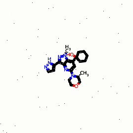 C[C@@H]1COCCN1c1cc(C2(O)CCCCC2)c2c(n1)c(-c1ccn[nH]1)nn2C